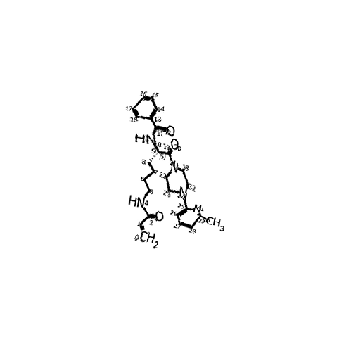 C=CC(=O)NCCCC[C@H](NC(=O)c1ccccc1)C(=O)N1CCN(c2cccc(C)n2)CC1